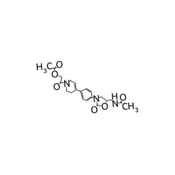 CC(=O)NCC1CN(c2ccc(C3=CCN(C(=O)COC(C)=O)CC3)cc2)C(=O)O1